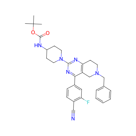 CC(C)(C)OC(=O)NC1CCN(c2nc3c(c(-c4ccc(C#N)c(F)c4)n2)CN(Cc2ccccc2)CC3)CC1